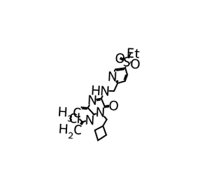 C=C(Cl)/N=C1\C(=C/C)N=C(NCc2ccc(S(=O)(=O)CC)cn2)C(=O)N1CC1CCC1